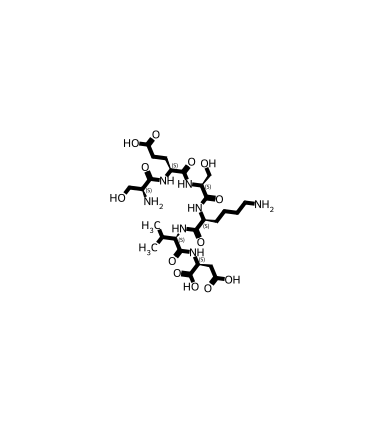 CC(C)[C@H](NC(=O)[C@H](CCCCN)NC(=O)[C@H](CO)NC(=O)[C@H](CCC(=O)O)NC(=O)[C@@H](N)CO)C(=O)N[C@@H](CC(=O)O)C(=O)O